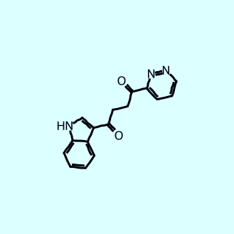 O=C(CCC(=O)c1c[nH]c2ccccc12)c1cccnn1